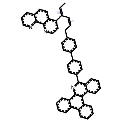 C/C=C(\C=C/Cc1ccc(-c2ccc(-c3nc4c5ccccc5c5ccccc5c4c4ccccc34)cc2)cc1)c1ccnc2c1ccc1cccnc12